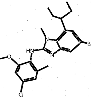 CCC(CC)c1cc(Br)cc2nc(Nc3c(C)cc(Cl)cc3OC)n(C)c12